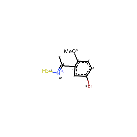 COc1ccc(Br)cc1/C(C)=N/S